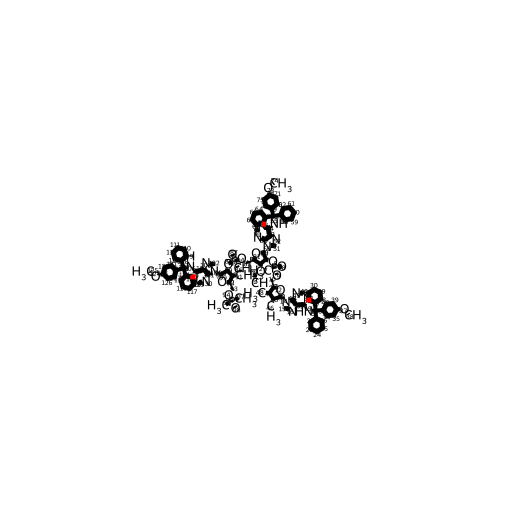 CCOC1C(OP(C)(=O)OC[C@H]2O[C@@H](n3cnc4c(NC(c5ccccc5)(c5ccccc5)c5ccc(OC)cc5)ncnc43)C(C)C2C)[C@H](n2cnc3c(NC(c4ccccc4)(c4ccccc4)c4ccc(OC)cc4)ncnc32)O[C@@H]1COP(C)(=O)OC1C(C)[C@@H](COP(C)(C)=O)O[C@H]1n1cnc2c(NC(c3ccccc3)(c3ccccc3)c3ccc(OC)cc3)ncnc21